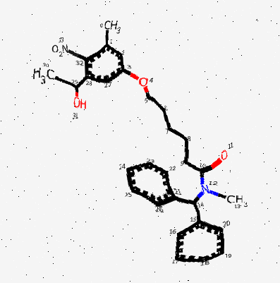 Cc1cc(OCCCCCC(=O)N(C)C(c2ccccc2)c2ccccc2)cc(C(C)O)c1[N+](=O)[O-]